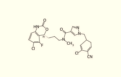 CN(CCC[C@H]1OC(=O)Nc2ccc(Cl)c(F)c21)C(=O)c1cnn(CC2C=C(Cl)C(C#N)=CC2)c1